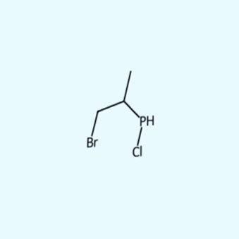 CC(CBr)PCl